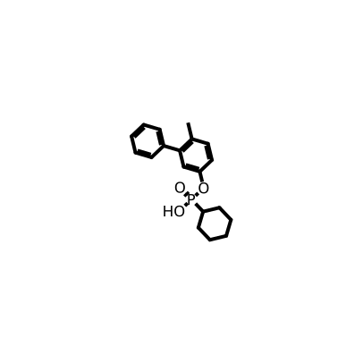 Cc1ccc(OP(=O)(O)C2CCCCC2)cc1-c1ccccc1